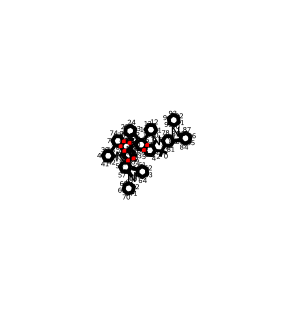 CC1(C)c2ccccc2N(c2ccccc2-c2cccc3c2-c2ccccc2S32(=O)c3ccccc3-c3c(-c4ccccc4N4c5ccccc5C(C)(C)c5c4ccc4c5c5ccccc5n4-c4ccccc4)cccc32)c2cc3c(cc21)c1ccccc1n3-c1ccccc1